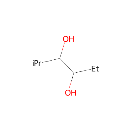 [CH2]C(C)C(O)C(O)CC